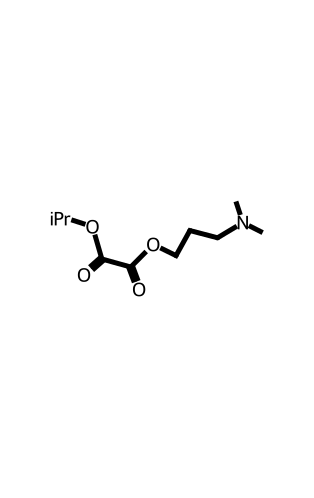 CC(C)OC(=O)C(=O)OCCCN(C)C